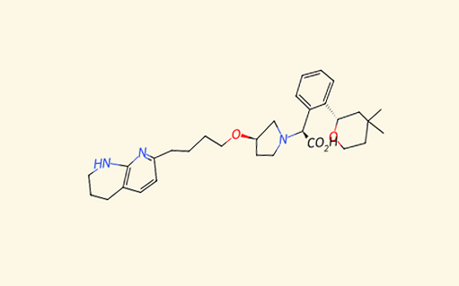 CC1(C)CCO[C@H](c2ccccc2[C@@H](C(=O)O)N2CC[C@@H](OCCCCc3ccc4c(n3)NCCC4)C2)C1